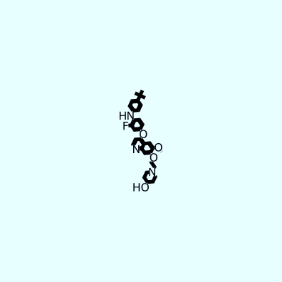 COc1cc2c(Oc3ccc(Nc4ccc(C(C)(C)C)cc4)c(F)c3)ccnc2cc1OCCN1CCC(O)CC1